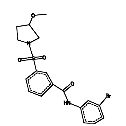 COC1CCN(S(=O)(=O)c2cccc(C(=O)Nc3cccc(Br)c3)c2)C1